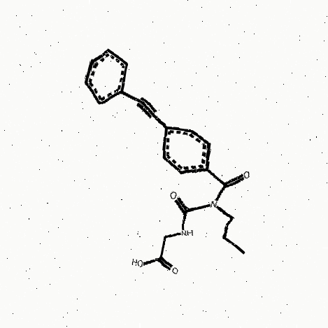 CCCN(C(=O)NCC(=O)O)C(=O)c1ccc(C#Cc2ccccc2)cc1